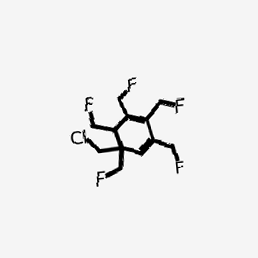 FCC1=CC(CF)(CCl)C(CF)C(CF)=C1CF